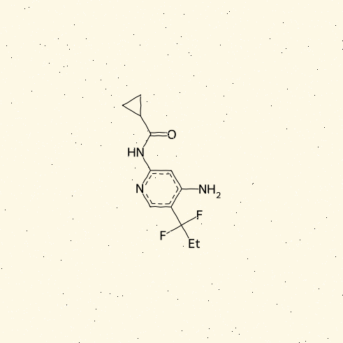 CCC(F)(F)c1cnc(NC(=O)C2CC2)cc1N